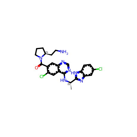 C[C@H](Nc1ncnc2cc(C(=O)N3CCC[C@H]3CCN)c(Cl)cc12)c1nc2cc(Cl)ccc2[nH]1